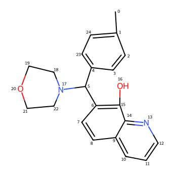 Cc1ccc(C(c2ccc3cccnc3c2O)N2CCOCC2)cc1